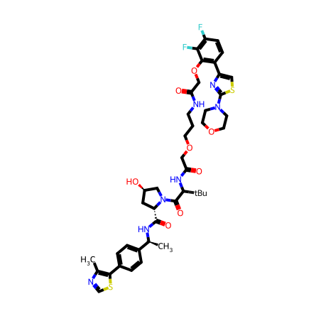 Cc1ncsc1-c1ccc([C@H](C)NC(=O)[C@@H]2C[C@@H](O)CN2C(=O)C(NC(=O)COCCCNC(=O)COc2c(-c3csc(N4CCOCC4)n3)ccc(F)c2F)C(C)(C)C)cc1